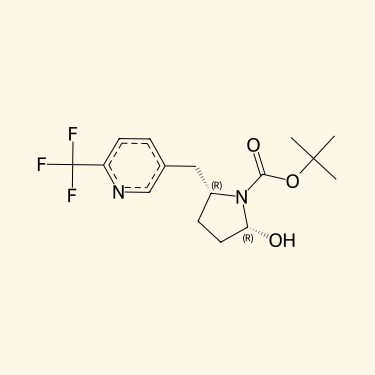 CC(C)(C)OC(=O)N1[C@@H](Cc2ccc(C(F)(F)F)nc2)CC[C@H]1O